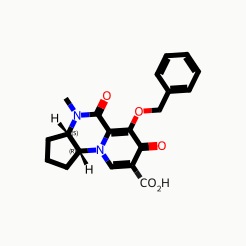 CN1C(=O)c2c(OCc3ccccc3)c(=O)c(C(=O)O)cn2[C@@H]2CCC[C@@H]21